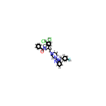 CN(CC(CCN1CCCN(c2nc3ccccc3n2Cc2ccc(F)cc2)CC1)c1ccc(Cl)c(Cl)c1)C(=O)c1ccccc1